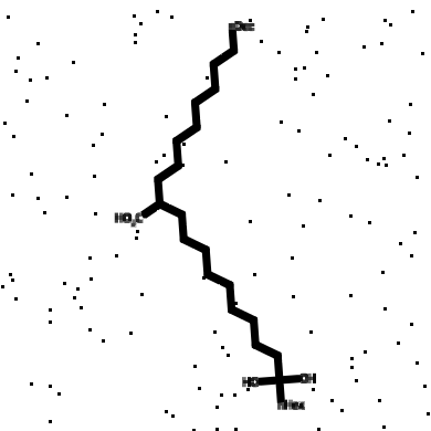 CCCCCCCCCCCCCCCCCCC(CCCCCCCCCC(O)(O)CCCCCC)C(=O)O